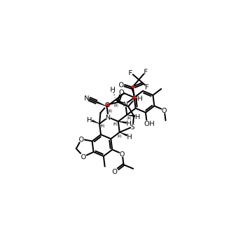 C=CCN1[C@@H]2Cc3cc(C)c(OC)c(O)c3[C@@H]1[C@@H]1[C@@H]3SCC(NC(=O)C(F)(F)F)C(=O)OC[C@@H](c4c5c(c(C)c(OC(C)=O)c43)OCO5)N1[C@H]2C#N